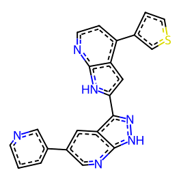 c1cncc(-c2cnc3[nH]nc(-c4cc5c(-c6ccsc6)ccnc5[nH]4)c3c2)c1